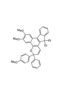 CCC1(CC)c2ccccc2-c2c1c1c(c3cc(OC)c(OC)cc23)OC(c2ccccc2)(c2ccc(OC)cc2)C=C1